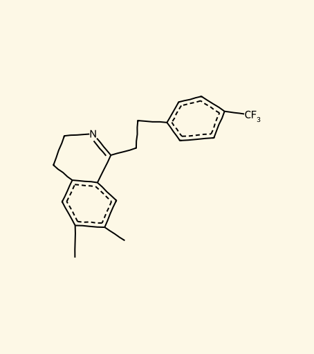 Cc1cc2c(cc1C)C(CCc1ccc(C(F)(F)F)cc1)=NCC2